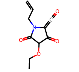 C=CCN1C(=O)C(OCC)C(=O)C1=C=O